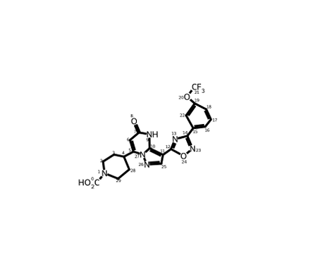 O=C(O)N1CCC(c2cc(=O)[nH]c3c(-c4nc(-c5cccc(OC(F)(F)F)c5)no4)cnn23)CC1